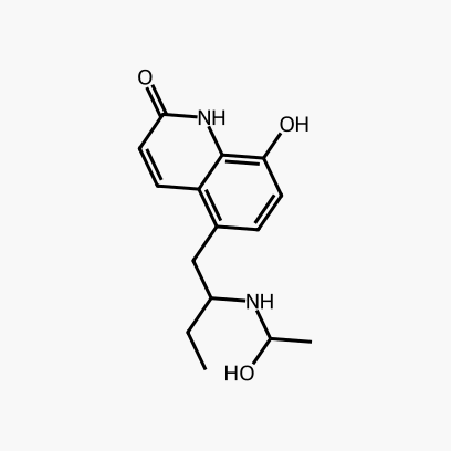 CCC(Cc1ccc(O)c2[nH]c(=O)ccc12)NC(C)O